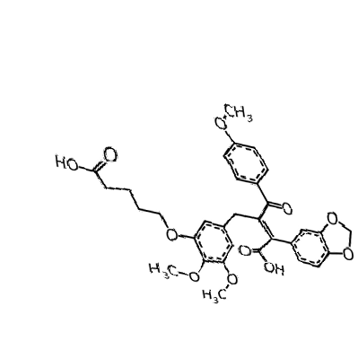 COc1ccc(C(=O)C(Cc2cc(OC)c(OC)c(OCCCCC(=O)O)c2)=C(C(=O)O)c2ccc3c(c2)OCO3)cc1